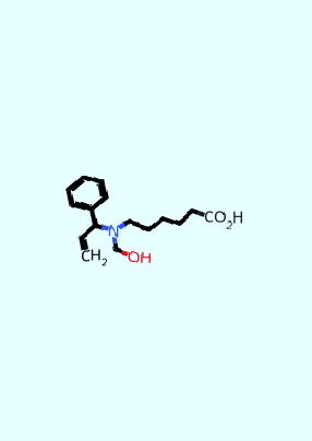 C=CC(c1ccccc1)N(CO)CCCCCC(=O)O